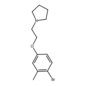 Cc1cc(OCCN2CCCC2)ccc1Br